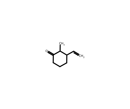 C=CC1CCCC(=O)C1C